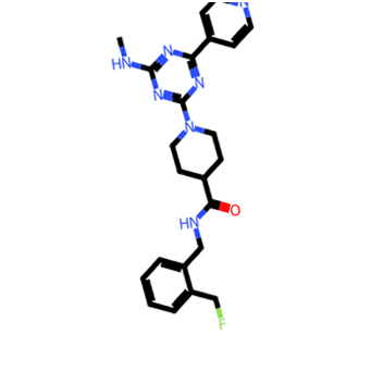 CNc1nc(-c2ccncc2)nc(N2CCC(C(=O)NCc3ccccc3CF)CC2)n1